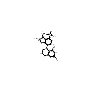 CS(=O)(=O)c1ccc(N2CCCc3cc(F)cc(Cl)c32)c2c1[C@H](O)[C@H](F)C2